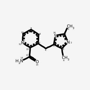 Cc1nc(C)c(Cc2cccnc2C(N)=O)s1